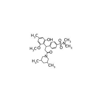 COc1cc(C)cc(O)c1C(CC(=O)N1CC(C)CC(C)C1)c1ccc(S(=O)(=O)N(C)C)cc1